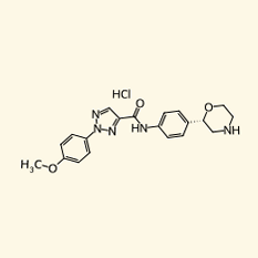 COc1ccc(-n2ncc(C(=O)Nc3ccc([C@H]4CNCCO4)cc3)n2)cc1.Cl